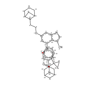 N#Cc1cnn2cc(OCCN3C4COCC3C4)cc(-c3ccc(N4CC5CC(C4)N5C(=O)C4(c5ccccc5)CC4)nc3)c12